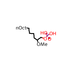 CCCCCCCCCCCCC(COP(=O)(O)O)OC